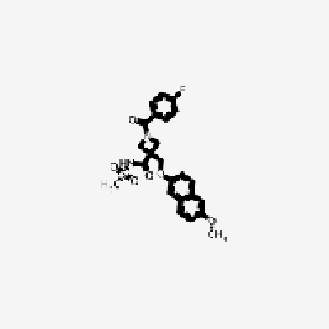 COc1ccc2cc(OCC3(C(=O)NS(C)(=O)=O)CN(C(=O)c4ccc(F)cc4)C3)ccc2c1